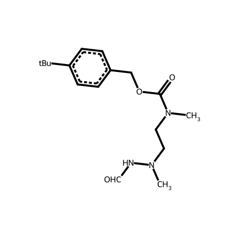 CN(CCN(C)C(=O)OCc1ccc(C(C)(C)C)cc1)NC=O